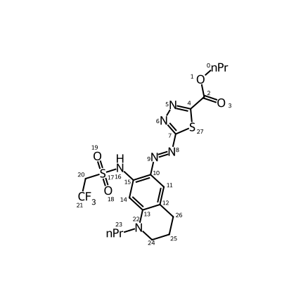 CCCOC(=O)c1nnc(N=Nc2cc3c(cc2NS(=O)(=O)CC(F)(F)F)N(CCC)CCC3)s1